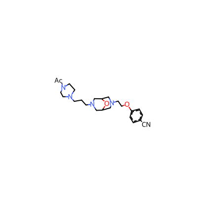 CC(=O)N1CCN(CCCN2CC3CN(CCOc4ccc(C#N)cc4)CC(C2)O3)CC1